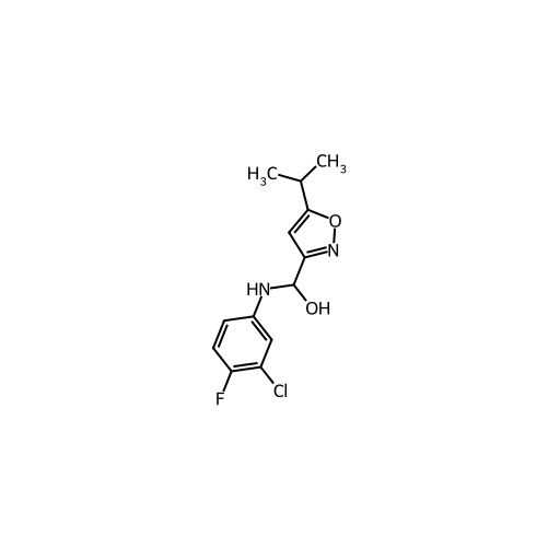 CC(C)c1cc(C(O)Nc2ccc(F)c(Cl)c2)no1